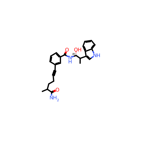 CC(CCC#Cc1cccc(C(=O)N[C@H](O)C(C)c2c[nH]c3ccccc23)c1)C(N)=O